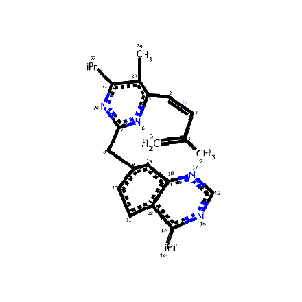 C=C(C)/C=C\c1nc(Cc2ccc3c(C(C)C)ncnc3c2)nc(C(C)C)c1C